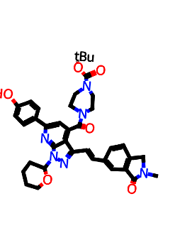 CN1Cc2ccc(C=Cc3nn(C4CCCCO4)c4nc(-c5ccc(O)cc5)cc(C(=O)N5CCN(C(=O)OC(C)(C)C)CC5)c34)cc2C1=O